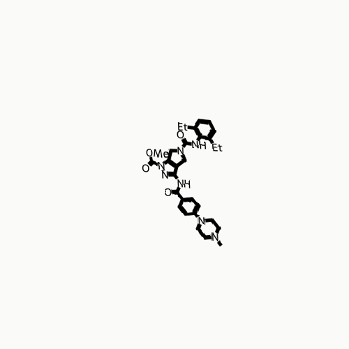 CCc1cccc(CC)c1NC(=O)N1Cc2c(NC(=O)c3ccc(N4CCN(C)CC4)cc3)nn(C(=O)OC)c2C1